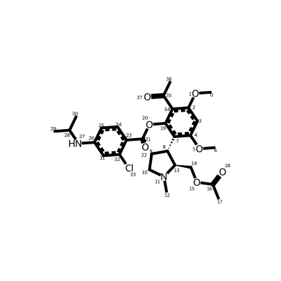 COc1cc(OC)c([C@H]2CCN(C)[C@@H]2COC(C)=O)c(OC(=O)c2ccc(NC(C)C)cc2Cl)c1C(C)=O